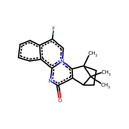 CC12CCC(c3c1n1cc(F)c4ccccc4c1nc3=O)C2(C)C